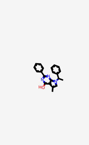 Cc1cn(C(C)c2ccccc2)c2nc(-c3ccccc3)nc(O)c12